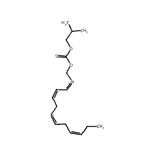 CC/C=C\C/C=C\C/C=C\C=N/COC(=O)OCC(C)C